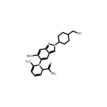 COc1cc2nn(C3CCC(CO)CC3)cc2cc1N1C(C)=CC=CC1C(N)=O